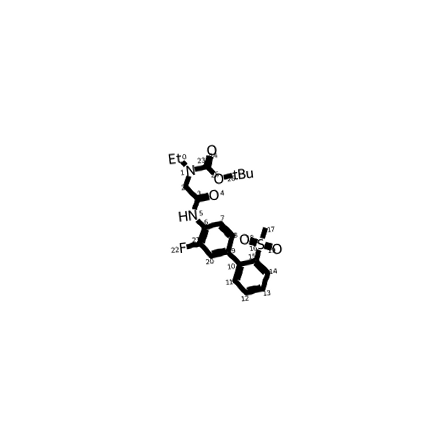 CCN(CC(=O)Nc1ccc(-c2ccccc2S(C)(=O)=O)cc1F)C(=O)OC(C)(C)C